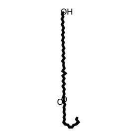 CC/C=C\C/C=C\C/C=C\CCCCCCCC(=O)OCCCCCCCCCCCCCCCCCCCCCCCCCCCCCCCCCO